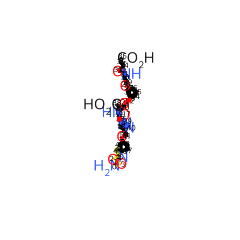 NS(=O)(=O)c1nc2ccc(OCc3cn(CC(=O)NC(COCc4cccc(OCCNC(=O)CCC(=O)O)c4)C(=O)O)nn3)cc2s1